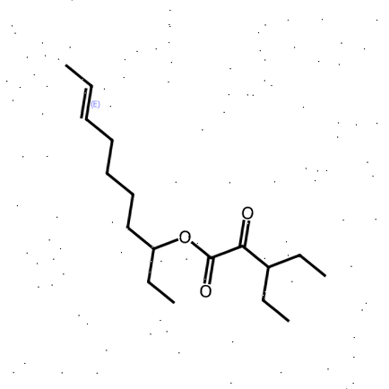 C/C=C/CCCCC(CC)OC(=O)C(=O)C(CC)CC